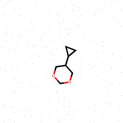 [CH]1OCC(C2CC2)CO1